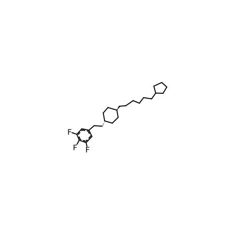 Fc1cc(CC[C@H]2CC[C@H](CCCCCCC3CCCC3)CC2)cc(F)c1F